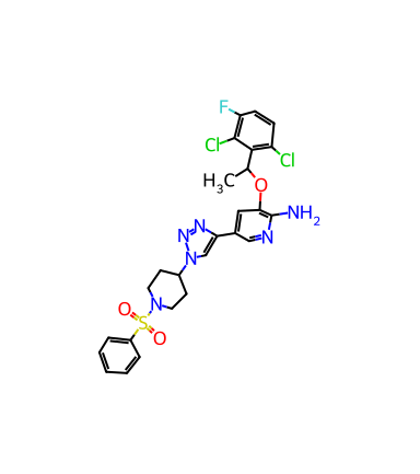 CC(Oc1cc(-c2cn(C3CCN(S(=O)(=O)c4ccccc4)CC3)nn2)cnc1N)c1c(Cl)ccc(F)c1Cl